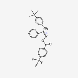 CC(C)(C)c1ccc(N/C(=N/OC(=O)c2ccc(C(F)(F)F)cc2)c2ccccc2)cc1